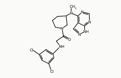 CN(c1ncnc2[nH]ncc12)C1CCCN(C(=O)CNc2cc(Cl)cc(Cl)c2)C1